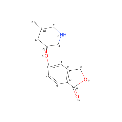 C[C@@H]1CNC[C@@H](Oc2ccc3c(c2)COC3=O)C1